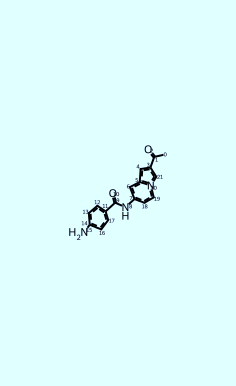 CC(=O)c1cc2cc(NC(=O)c3ccc(N)cc3)ccn2c1